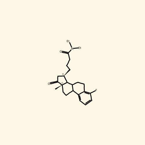 CCN(CC)C(=O)CCC[C@@H]1CC(=O)[C@@]2(C)CCC3c4cccc(F)c4CCC3C12